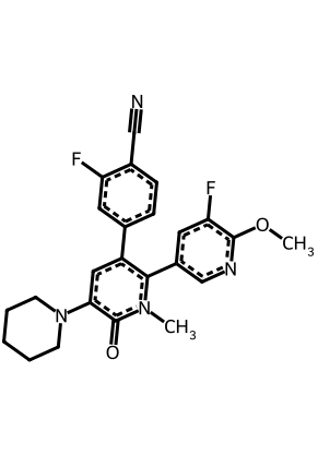 COc1ncc(-c2c(-c3ccc(C#N)c(F)c3)cc(N3CCCCC3)c(=O)n2C)cc1F